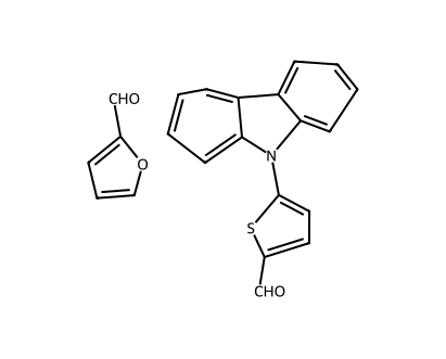 O=Cc1ccc(-n2c3ccccc3c3ccccc32)s1.O=Cc1ccco1